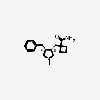 NC(=O)C1(C[C@@H]2CNC[C@H]2Cc2ccccc2)CCC1